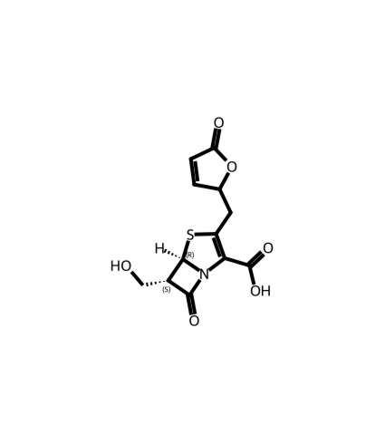 O=C1C=CC(CC2=C(C(=O)O)N3C(=O)[C@H](CO)[C@H]3S2)O1